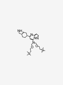 C[Si](C)(C)CCOCN(COCC[Si](C)(C)C)c1cc(C2CCC(CN)CC2)nc2ccnn12